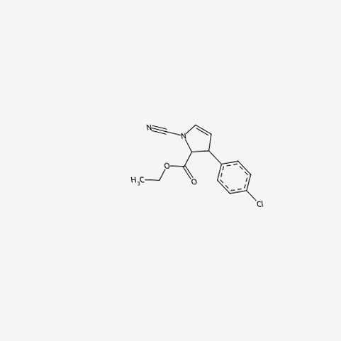 CCOC(=O)C1C(c2ccc(Cl)cc2)C=CN1C#N